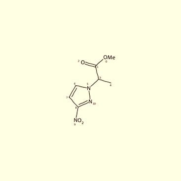 COC(=O)C(C)n1ccc([N+](=O)[O-])n1